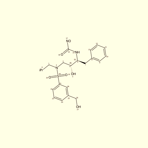 CC(C)CN(C[C@@H](O)[C@H](Cc1ccccc1)NC(=O)N=O)S(=O)(=O)c1cccc(CO)c1